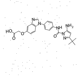 CC(C)(C)c1cc(N)n(C(=O)Nc2ccc(-n3cnc4cc(OCC(=O)O)ccc43)cc2)n1